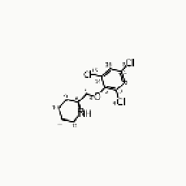 Clc1cc(Cl)c(OCC2CCCCN2)c(Cl)c1